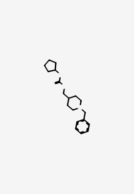 Cl.O=C(NC1CCCC1)OCC1CCN(Cc2ccccc2)CC1